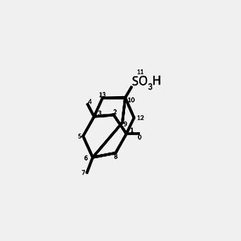 CC12CC3(C)CC(C)(C1)CC(S(=O)(=O)O)(C2)C3